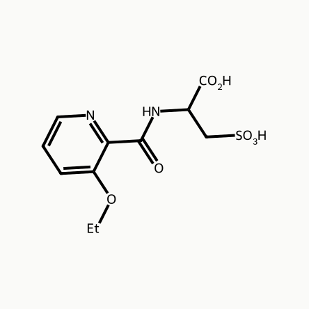 CCOc1cccnc1C(=O)NC(CS(=O)(=O)O)C(=O)O